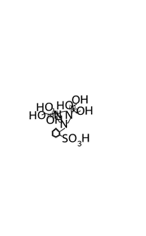 O=S(=O)(O)c1ccccc1CN1CCN([C@H](CO)[C@H](O)CO)CCN([C@H](CO)[C@H](O)CO)CC1